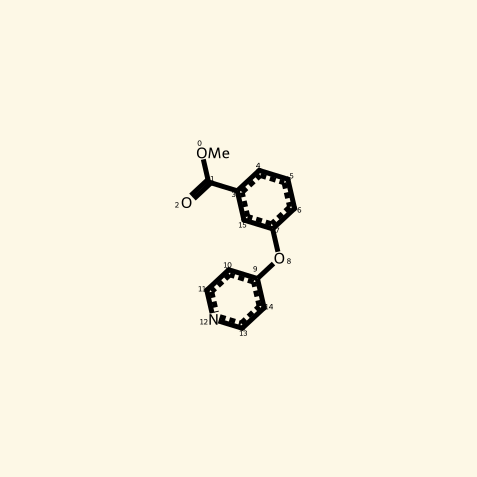 COC(=O)c1cccc(Oc2ccncc2)c1